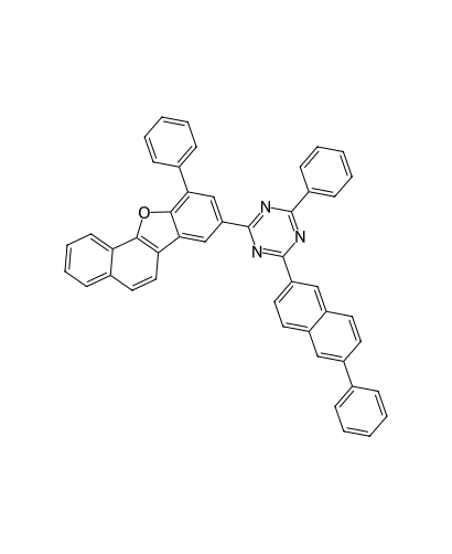 c1ccc(-c2ccc3cc(-c4nc(-c5ccccc5)nc(-c5cc(-c6ccccc6)c6oc7c8ccccc8ccc7c6c5)n4)ccc3c2)cc1